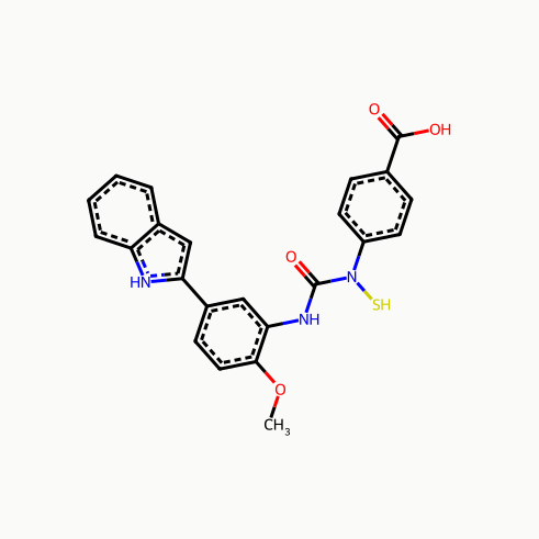 COc1ccc(-c2cc3ccccc3[nH]2)cc1NC(=O)N(S)c1ccc(C(=O)O)cc1